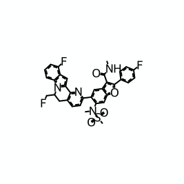 CNC(=O)c1c(-c2ccc(F)cc2)oc2cc(N(C)S(C)(=O)=O)c(-c3ccc4c(n3)-c3cc5c(F)cccc5n3C(CF)C4)cc12